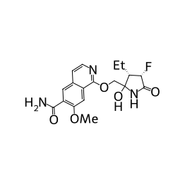 CC[C@@H]1[C@H](F)C(=O)NC1(O)COc1nccc2cc(C(N)=O)c(OC)cc12